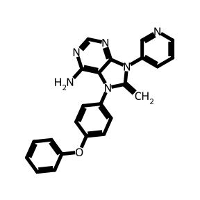 C=C1N(c2cccnc2)c2ncnc(N)c2N1c1ccc(Oc2ccccc2)cc1